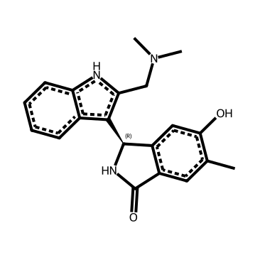 Cc1cc2c(cc1O)[C@H](c1c(CN(C)C)[nH]c3ccccc13)NC2=O